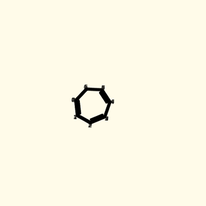 [C]1=CC=CC=CC1